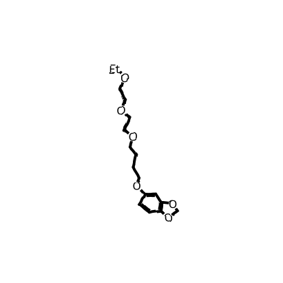 CCOCCOCCOCCCCOc1ccc2c(c1)OCO2